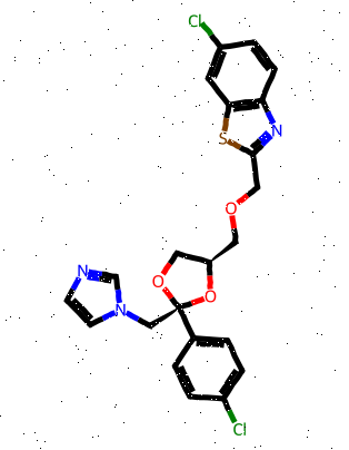 Clc1ccc([C@]2(Cn3ccnc3)OC[C@@H](COCc3nc4ccc(Cl)cc4s3)O2)cc1